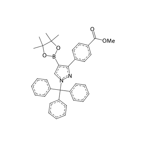 COC(=O)c1ccc(-c2nn(C(c3ccccc3)(c3ccccc3)c3ccccc3)cc2B2OC(C)(C)C(C)(C)O2)cc1